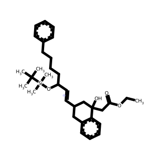 CCOC(=O)CC1(O)CC(/C=C/C(CCCCc2ccccc2)O[Si](C)(C)C(C)(C)C)Cc2ccccc21